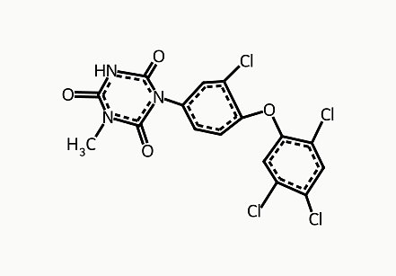 Cn1c(=O)[nH]c(=O)n(-c2ccc(Oc3cc(Cl)c(Cl)cc3Cl)c(Cl)c2)c1=O